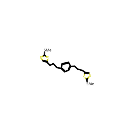 CSC1SC=C(CCCc2ccc(CCCC3=CSC(SC)S3)cc2)S1